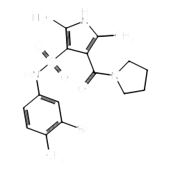 Cc1[nH]c(C)c(S(=O)(=O)Nc2ccc(C(F)(F)F)c(Br)c2)c1C(=O)N1CCCC1